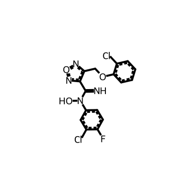 N=C(c1nonc1COc1ccccc1Cl)N(O)c1ccc(F)c(Cl)c1